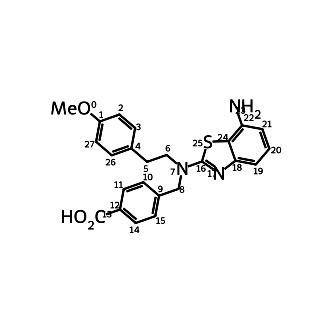 COc1ccc(CCN(Cc2ccc(C(=O)O)cc2)c2nc3cccc(N)c3s2)cc1